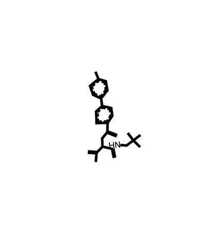 C=C(CC(C(=C)C)C(=C)NCC(C)(C)C)c1ccc(-c2ccc(C)cc2)cc1